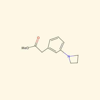 COC(=O)Cc1cccc(N2CCC2)c1